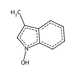 [CH2]c1cn(O)c2ccccc12